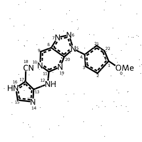 COc1ccc(-n2nnc3cnc(Nc4nc[nH]c4C#N)nc32)cc1